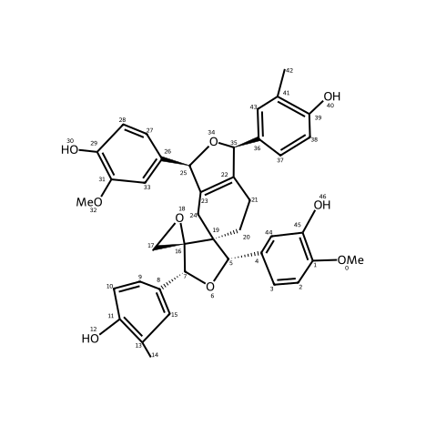 COc1ccc([C@@H]2O[C@H](c3ccc(O)c(C)c3)[C@@]3(CO3)[C@]23CCC2=C(C3)[C@@H](c3ccc(O)c(OC)c3)O[C@H]2c2ccc(O)c(C)c2)cc1O